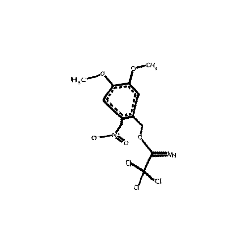 COc1cc(COC(=N)C(Cl)(Cl)Cl)c([N+](=O)[O-])cc1OC